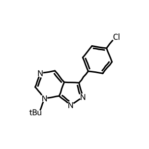 CC(C)(C)n1cncc2c(-c3ccc(Cl)cc3)nnc1-2